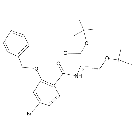 CC(C)(C)OC[C@H](NC(=O)c1ccc(Br)cc1OCc1ccccc1)C(=O)OC(C)(C)C